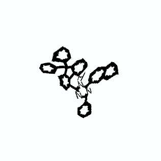 c1ccc(C2=NC(c3ccc4ccccc4c3)NC(c3cccc4c3-c3ccccc3C4(c3ccccc3)c3ccccc3)=N2)cc1